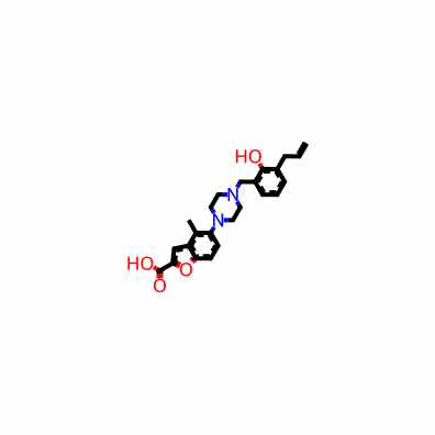 C=CCc1cccc(CN2CCN(c3ccc4oc(C(=O)O)cc4c3C)CC2)c1O